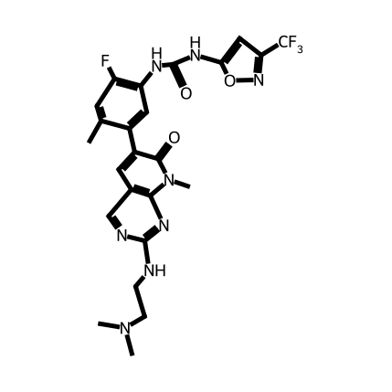 Cc1cc(F)c(NC(=O)Nc2cc(C(F)(F)F)no2)cc1-c1cc2cnc(NCCN(C)C)nc2n(C)c1=O